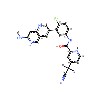 CNc1cc2ncc(-c3cc(NC(=O)c4cc(C(C)(C)C#N)ccn4)ccc3F)cc2cn1